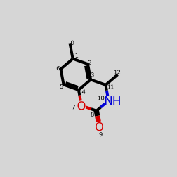 CC1C=C2C(=CC1)OC(=O)NC2C